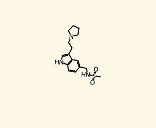 CS(=O)(=O)NCc1ccc2[nH]cc(CCN3CCCC3)c2c1